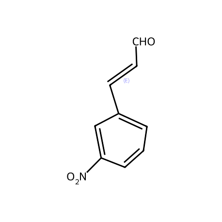 O=C/C=C/c1cccc([N+](=O)[O-])c1